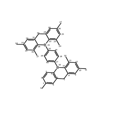 Cc1ccc2c(c1)Cc1cc(C)cc(C)c1B2c1ccc(B2c3c(C)cc(C)cc3Cc3cc(C)cc(C)c32)cc1